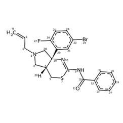 C=CCN1C[C@H]2CSC(NC(=O)c3ccccc3)=N[C@@]2(c2cc(Br)ccc2F)C1